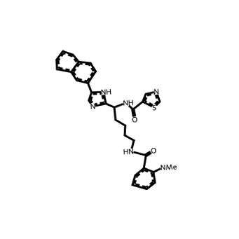 CNc1ccccc1C(=O)NCCCCC(NC(=O)c1cncs1)c1ncc(-c2ccc3ccccc3c2)[nH]1